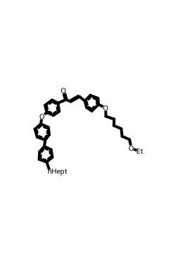 CCCCCCCc1ccc(-c2ccc(Oc3ccc(C(=O)/C=C/c4ccc(OCCCCCCOCC)cc4)cc3)cc2)cc1